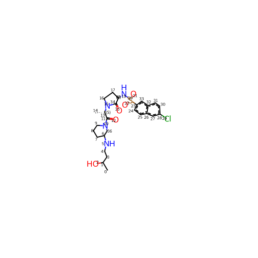 CC(O)CCNC1CCCN(C(=O)[C@H](C)N2CC[C@H](NS(=O)(=O)c3ccc4cc(Cl)ccc4c3)C2=O)C1